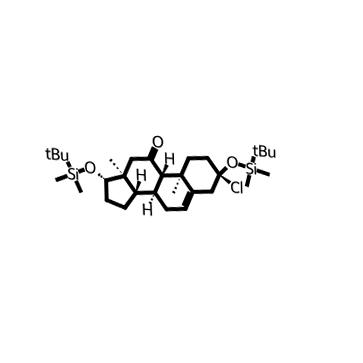 CC(C)(C)[Si](C)(C)O[C@H]1CC[C@H]2[C@@H]3CC=C4C[C@@](Cl)(O[Si](C)(C)C(C)(C)C)CC[C@]4(C)[C@H]3C(=O)C[C@]12C